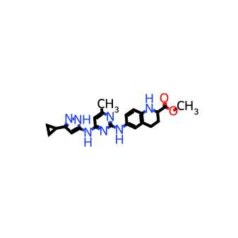 COC(=O)C1CCc2cc(Nc3nc(C)cc(Nc4cc(C5CC5)n[nH]4)n3)ccc2N1